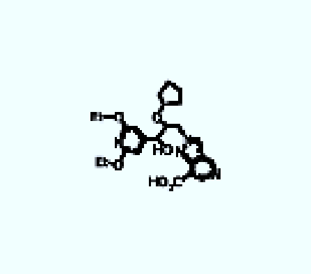 CCOc1cc(C(O)C(Cn2cc3cncc(C(=O)O)c3n2)OC2CCCC2)cc(OCC)n1